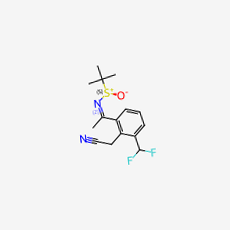 C/C(=N/[S@+]([O-])C(C)(C)C)c1cccc(C(F)F)c1CC#N